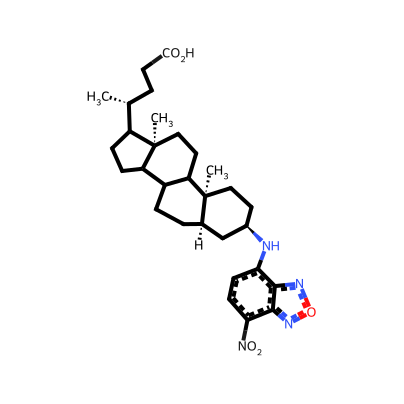 C[C@H](CCC(=O)O)C1CCC2C3CC[C@@H]4C[C@H](Nc5ccc([N+](=O)[O-])c6nonc56)CC[C@]4(C)C3CC[C@@]21C